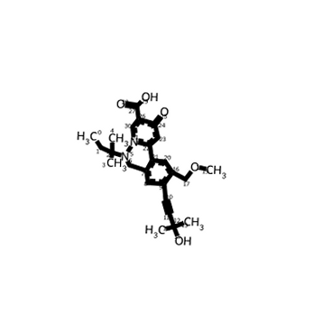 CCC(C)(C)N1Cc2cc(C#CC(C)(C)O)c(COC)cc2-c2cc(=O)c(C(=O)O)cn21